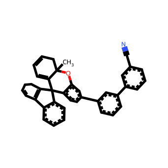 CC12CC=CC=C1C1(C3=C(C=CCC3)c3ccccc31)c1ccc(-c3cccc(-c4cccc(C#N)c4)c3)cc1O2